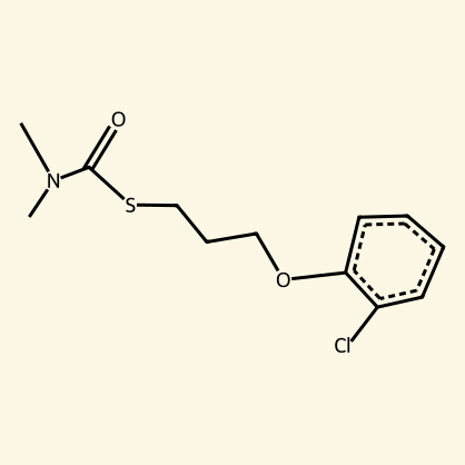 CN(C)C(=O)SCCCOc1ccccc1Cl